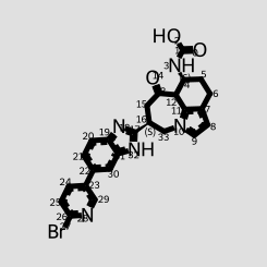 O=C(O)N[C@H]1CCc2ccn3c2C1C(=O)C[C@H](c1nc2ccc(-c4ccc(Br)nc4)cc2[nH]1)C3